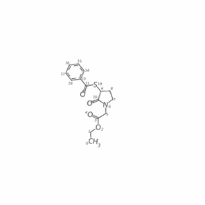 CCOC(=O)CN1CCC(SC(=O)c2ccccc2)C1=O